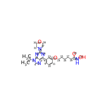 CC(C)n1cnc2c(-c3cccc(OCCCCCC(=O)NO)c3)nc(N3CCOCC3)nc21